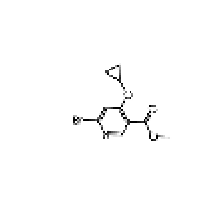 COC(=O)c1cnc(Br)cc1OC1CC1